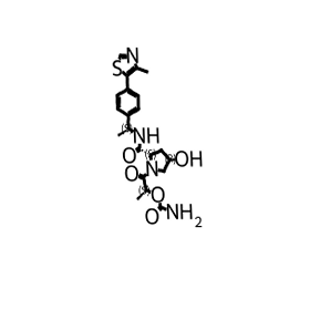 Cc1ncsc1-c1ccc([C@H](C)NC(=O)[C@@H]2C[C@@H](O)CN2C(=O)[C@H](C)OC(N)=O)cc1